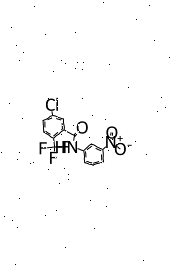 O=C(Nc1cccc([N+](=O)[O-])c1)c1cc(Cl)ccc1C(F)(F)F